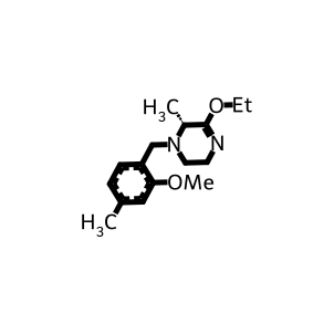 CCOC1=NCCN(Cc2ccc(C)cc2OC)[C@@H]1C